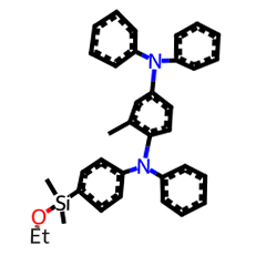 CCO[Si](C)(C)c1ccc(N(c2ccccc2)c2ccc(N(c3ccccc3)c3ccccc3)cc2C)cc1